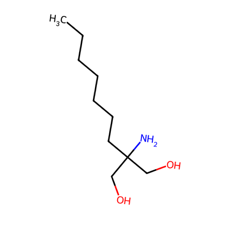 CCCCCCCC(N)(CO)CO